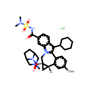 COc1ccc2c(c1)[C@@H]1C[C@]1(C(=O)N1C3CCC1CN(C)C3)Cn1c-2c(C2CCCCC2)c2ccc(C(=O)NS(=O)(=O)N(C)C)cc21.Cl